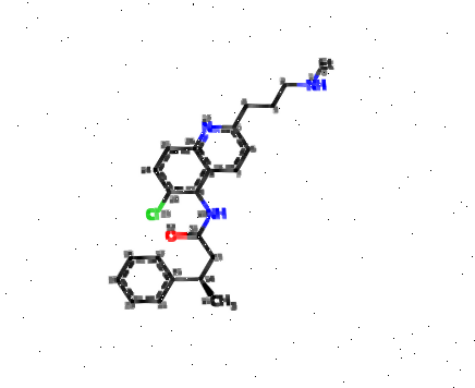 CCNCCCc1ccc2c(NC(=O)C[C@@H](C)c3ccccc3)c(Cl)ccc2n1